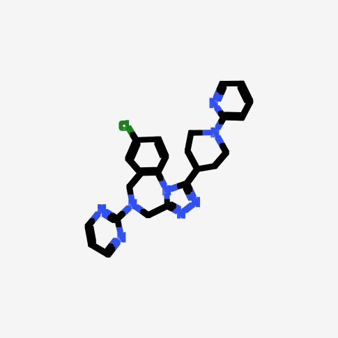 Clc1ccc2c(c1)CN(c1ncccn1)Cc1nnc(C3CCN(c4ccccn4)CC3)n1-2